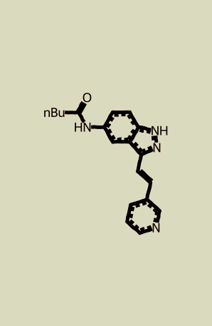 CCCCC(=O)Nc1ccc2[nH]nc(/C=C/c3cccnc3)c2c1